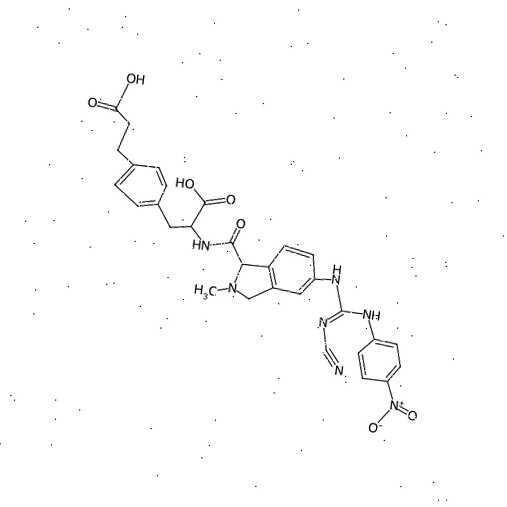 CN1Cc2cc(NC(=NC#N)Nc3ccc([N+](=O)[O-])cc3)ccc2C1C(=O)NC(Cc1ccc(CCC(=O)O)cc1)C(=O)O